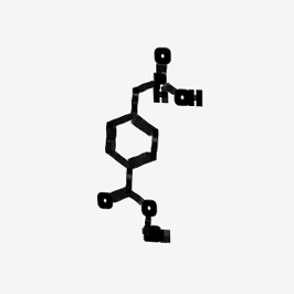 CC(C)(C)OC(=O)c1ccc(C[PH](=O)O)cc1